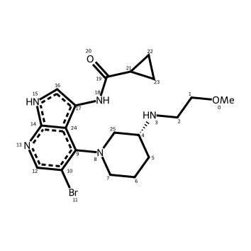 COCCN[C@@H]1CCCN(c2c(Br)cnc3[nH]cc(NC(=O)C4CC4)c23)C1